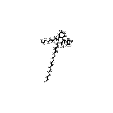 CCCCCCCCCCCCCCCCCC[C@H](CCCCCCC)c1ccccc1C(CC)n1ccnc1